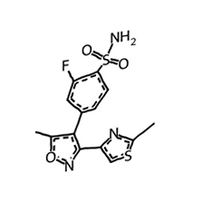 Cc1nc(-c2noc(C)c2-c2ccc(S(N)(=O)=O)c(F)c2)cs1